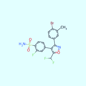 Cc1cc(-c2noc(C(F)F)c2-c2ccc(S(N)(=O)=O)c(F)c2)ccc1Br